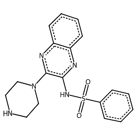 O=S(=O)(Nc1nc2ccccc2nc1N1CCNCC1)c1ccccc1